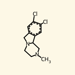 CN1CCN2Cc3cc(Cl)c(Cl)cc3C2C1